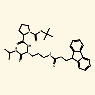 CC(C)NC(=O)[C@H](CCCNC(=O)OCC1c2ccccc2-c2ccccc21)NC(=O)C1CCCN1C(=O)OC(C)(C)C